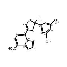 O=C(O)c1ccc(C2=NOC(c3cc(C(F)(F)F)cc(C(F)(F)F)c3)(C(F)(F)F)C2)n2cccc12